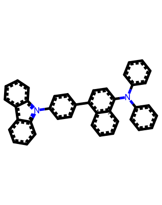 c1ccc(N(c2ccccc2)c2ccc(-c3ccc(-n4c5ccccc5c5ccccc54)cc3)c3ccccc23)cc1